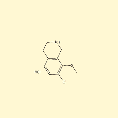 CSc1c(Cl)ccc2c1CNCC2.Cl